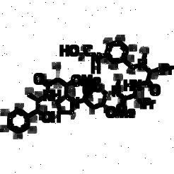 CC[C@H](C)[C@@H]([C@@H](CC(=O)N1CCC[C@H]1[C@H](OC)[C@@H](C)C(=O)N[C@H](C)[C@@H](O)c1ccccc1)OC)N(C)C(=O)[C@@H](NC(=O)[C@H](C(C)C)N(C)Cc1cccc(NC(=O)O)c1)C(C)C